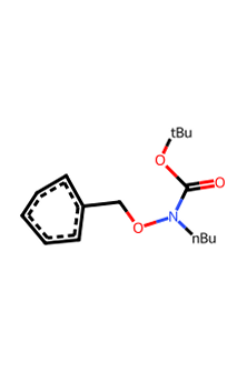 CCCCN(OCc1ccccc1)C(=O)OC(C)(C)C